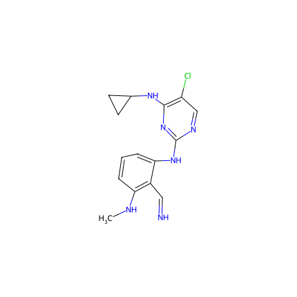 CNc1cccc(Nc2ncc(Cl)c(NC3CC3)n2)c1C=N